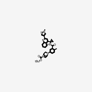 Cc1ccc(N2CC3CC2CN3C(=O)OC(C)(C)C)cc1C(=O)NC1(c2cc(-c3cnn(C)c3)nc3ccccc23)CC1